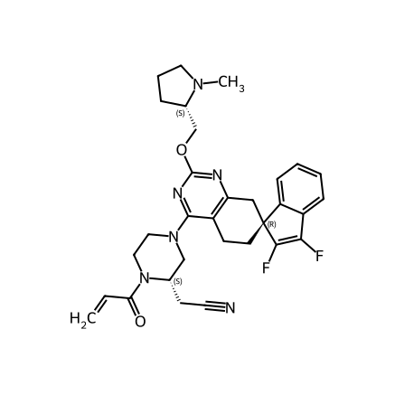 C=CC(=O)N1CCN(c2nc(OC[C@@H]3CCCN3C)nc3c2CC[C@]2(C3)C(F)=C(F)c3ccccc32)C[C@@H]1CC#N